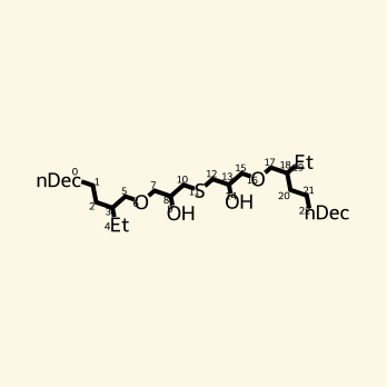 CCCCCCCCCCCCC(CC)COCC(O)CSCC(O)COCC(CC)CCCCCCCCCCCC